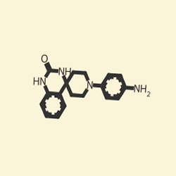 Nc1ccc(N2CCC3(CC2)NC(=O)Nc2ccccc23)cc1